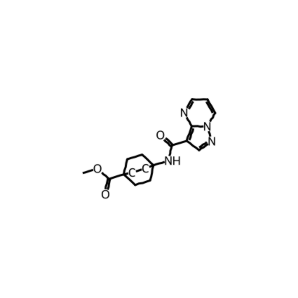 COC(=O)C12CCC(NC(=O)c3cnn4cccnc34)(CC1)CC2